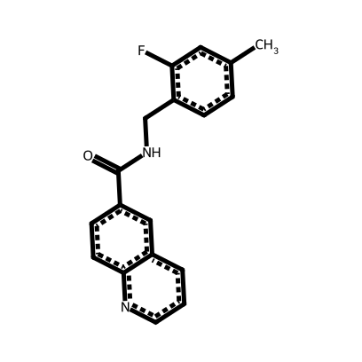 Cc1ccc(CNC(=O)c2ccc3ncccc3c2)c(F)c1